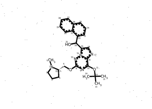 CN1CCC[C@H]1COc1nc(OC(C)(C)C)c2ncc(C(O)c3cccc4ccccc34)n2n1